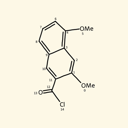 COc1cc2c(OC)cccc2cc1C(=O)Cl